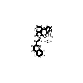 Cl.Cn1nccc1-c1ccnc2c1C(=O)N(CCc1ccc3ccccc3n1)C2